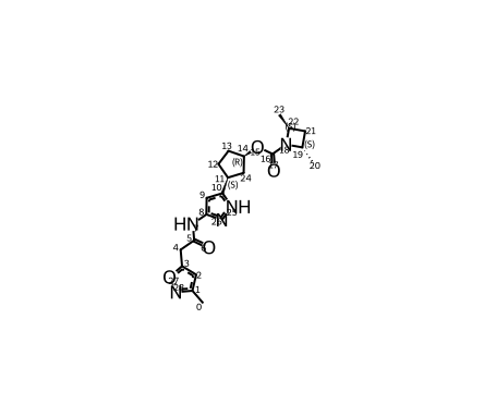 Cc1cc(CC(=O)Nc2cc([C@H]3CC[C@@H](OC(=O)N4[C@@H](C)C[C@@H]4C)C3)[nH]n2)on1